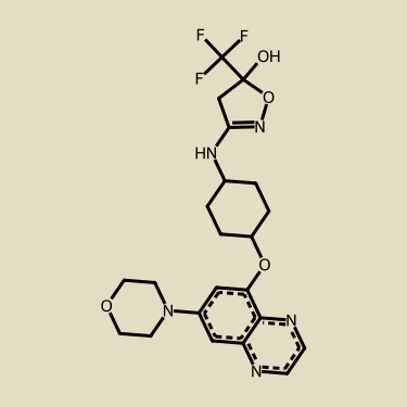 OC1(C(F)(F)F)CC(NC2CCC(Oc3cc(N4CCOCC4)cc4nccnc34)CC2)=NO1